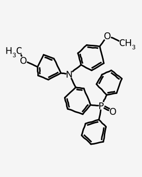 COc1ccc(N(c2ccc(OC)cc2)c2cccc(P(=O)(c3ccccc3)c3ccccc3)c2)cc1